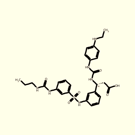 CCCNC(=O)Nc1cccc(S(=O)(=O)Nc2cccc([C@@H](CC(=O)O)NC(=O)Nc3ccc(NCC)cc3)c2)c1